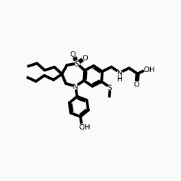 CCCCC1(CCCC)CN(c2ccc(O)cc2)c2cc(SC)c(CNCC(=O)O)cc2S(=O)(=O)C1